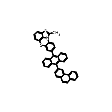 Cc1nc2cccc3c2n1-c1ccc(-c2c4ccccc4c(-c4ccc5ccc6ccccc6c5c4)c4ccccc24)cc1S3